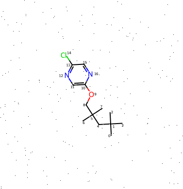 CC(C)(C)CC(C)(C)COc1cnc(Cl)cn1